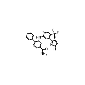 NC(=O)c1cnc(-c2ccccc2)c(Nc2cc(-c3cc[nH]n3)c(C(F)(F)F)cc2F)c1